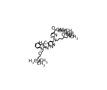 COC(=O)c1csc(N(CCCC(CN(C)C)O[Si](C)(C)C(C)(C)C)c2cc(C)c(/N=c3\sc4ccccc4n3COCC[Si](C)(C)C)nn2)n1